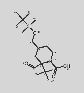 CC(C)(C)C1(C=O)CC(CO[Si](C)(C)C(C)(C)C)CCN1C(=O)O